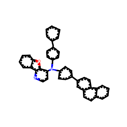 c1ccc(-c2ccc(N(c3ccc(-c4ccc5c(ccc6ccccc65)c4)cc3)c3ccnc4c3oc3ccccc34)cc2)cc1